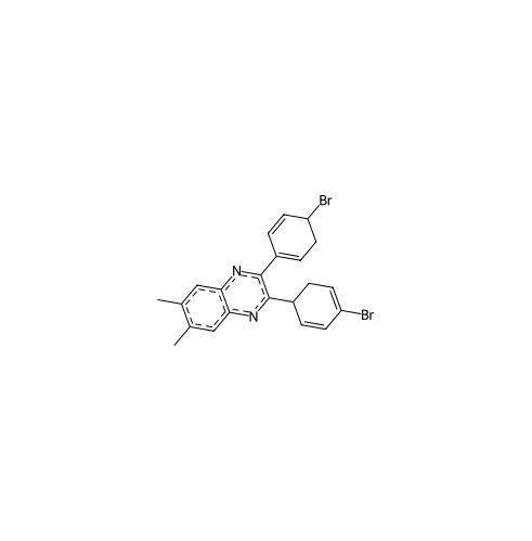 Cc1cc2nc(C3=CCC(Br)C=C3)c(C3C=CC(Br)=CC3)nc2cc1C